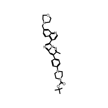 Cc1nn2c(-c3ccnc4cc(CN5CCOCC5)ccc34)cnc2cc1-c1ccc(N2CCN(C(=O)OC(C)(C)C)CC2)cc1